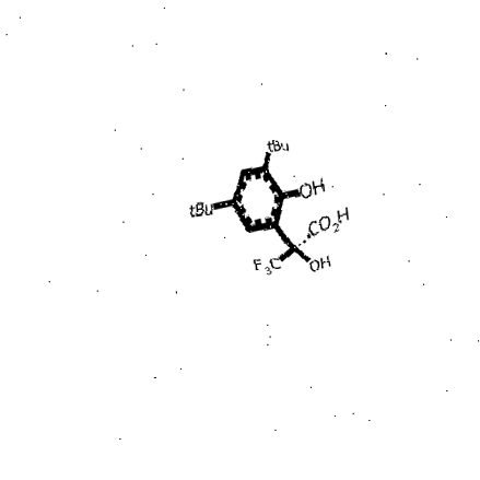 CC(C)(C)c1cc(C(C)(C)C)c(O)c([C@](O)(C(=O)O)C(F)(F)F)c1